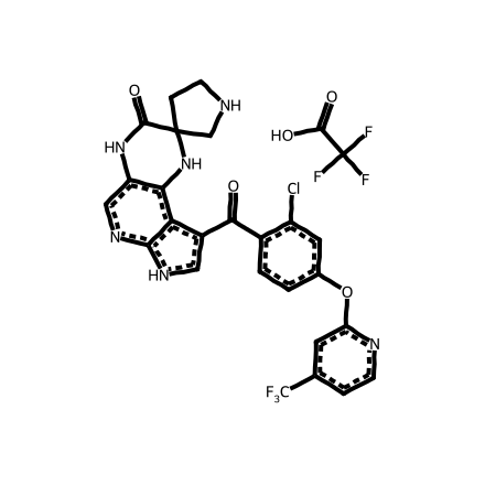 O=C(O)C(F)(F)F.O=C(c1ccc(Oc2cc(C(F)(F)F)ccn2)cc1Cl)c1c[nH]c2ncc3c(c12)NC1(CCNC1)C(=O)N3